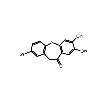 CC(C)c1ccc2c(c1)CC(=O)c1cc(O)c(O)cc1S2